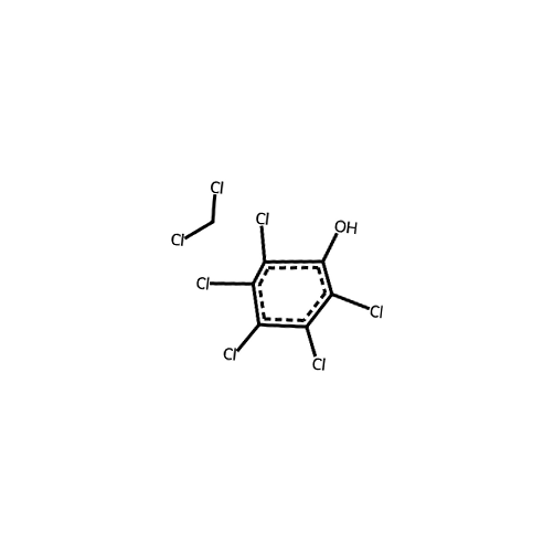 ClCCl.Oc1c(Cl)c(Cl)c(Cl)c(Cl)c1Cl